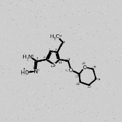 CCc1cc(C(N)=NO)sc1COC1CCCCO1